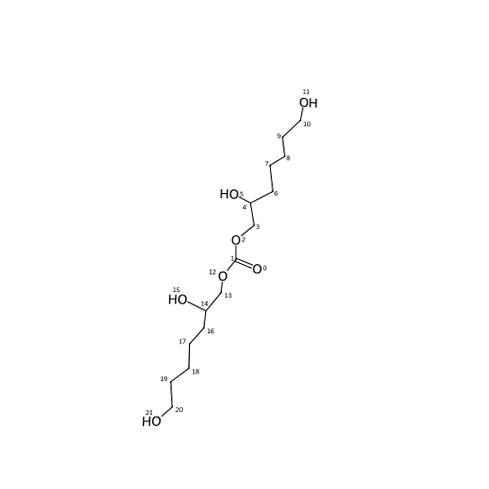 O=C(OCC(O)CCCCCO)OCC(O)CCCCCO